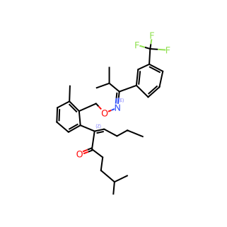 CCC/C=C(\C(=O)CCC(C)C)c1cccc(C)c1CO/N=C(/c1cccc(C(F)(F)F)c1)C(C)C